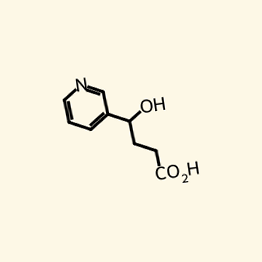 O=C(O)CCC(O)c1cccnc1